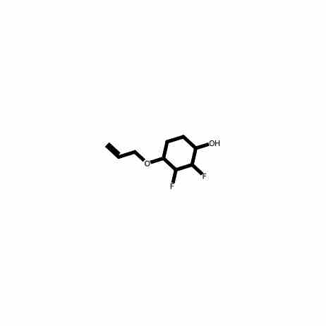 C=CCOC1CCC(O)C(F)C1F